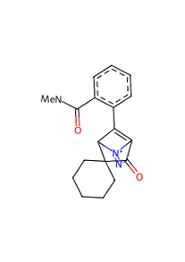 CNC(=O)c1ccccc1C1=C2C(=O)C3(CCCCC3)C1[N+]2=[N-]